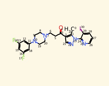 Cc1c(C(=O)CCN2CCN(c3cc(F)cc(F)c3)CC2)cnn1-c1ncccc1I